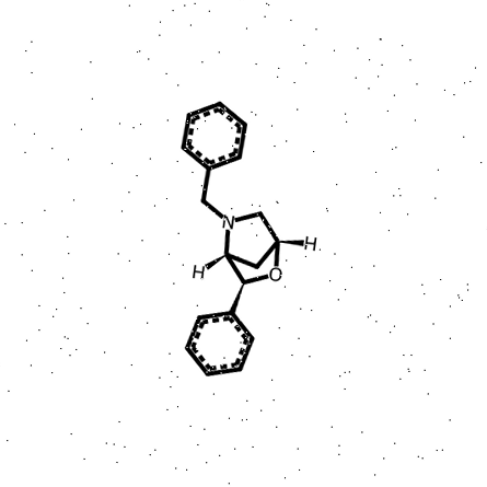 c1ccc(CN2C[C@H]3C[C@@H]2[C@H](c2ccccc2)O3)cc1